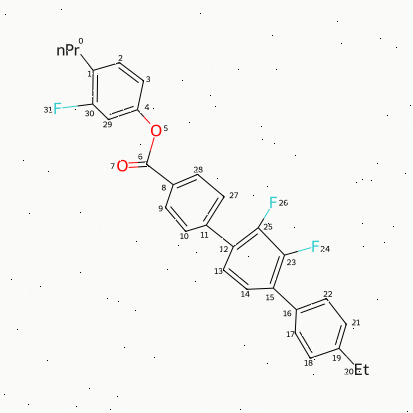 CCCc1ccc(OC(=O)c2ccc(-c3ccc(-c4ccc(CC)cc4)c(F)c3F)cc2)cc1F